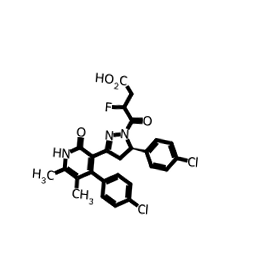 Cc1[nH]c(=O)c(C2=NN(C(=O)C(F)CC(=O)O)[C@@H](c3ccc(Cl)cc3)C2)c(-c2ccc(Cl)cc2)c1C